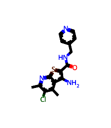 Cc1nc2sc(C(=O)NCc3ccncc3)c(N)c2c(C)c1Cl